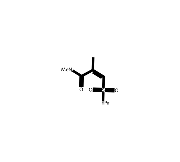 CCCS(=O)(=O)C=C(C)C(=O)NC